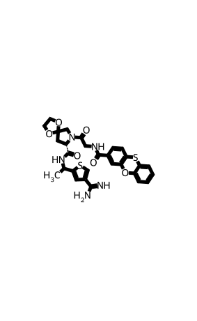 CC(NC(=O)[C@@H]1CC2(CN1C(=O)CNC(=O)c1ccc3c(c1)Oc1ccccc1S3)OCCO2)c1cc(C(=N)N)cs1